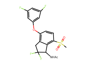 CC(=O)NC1c2c(S(C)(=O)=O)ccc(Oc3cc(F)cc(F)c3)c2CC1(F)F